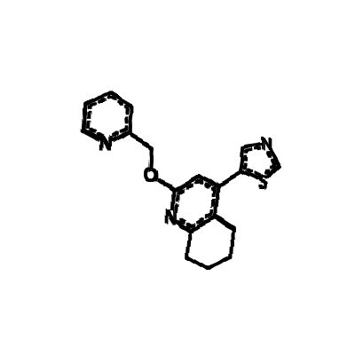 c1ccc(COc2cc(-c3cncs3)c3c(n2)CCCC3)nc1